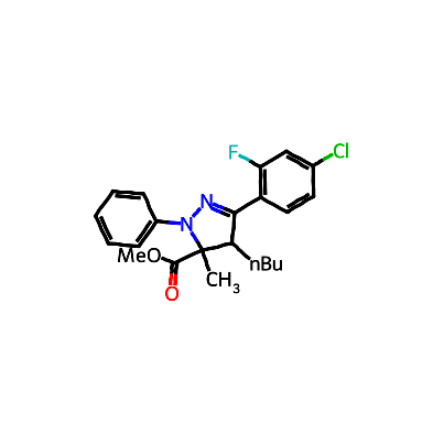 CCCCC1C(c2ccc(Cl)cc2F)=NN(c2ccccc2)C1(C)C(=O)OC